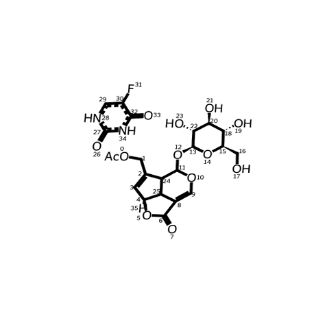 CC(=O)OCC1=C[C@@H]2OC(=O)C3=COC(O[C@@H]4O[C@H](CO)[C@@H](O)[C@H](O)[C@H]4O)C1C32.O=c1[nH]cc(F)c(=O)[nH]1